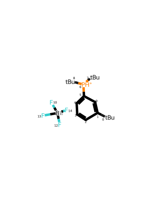 CC(C)(C)c1cccc([PH+](C(C)(C)C)C(C)(C)C)c1.F[B-](F)(F)F